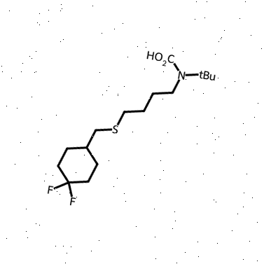 CC(C)(C)N(CCCCSCC1CCC(F)(F)CC1)C(=O)O